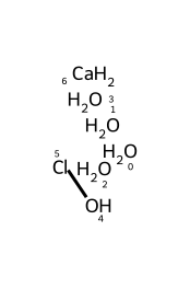 O.O.O.O.OCl.[CaH2]